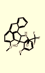 COc1ccccc1C(O)(c1ccccc1OC)C(NC(=O)C(F)(F)F)c1cccc2ccccc12